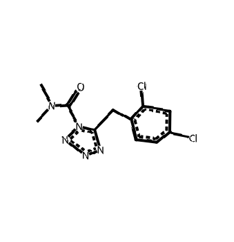 CN(C)C(=O)n1nnnc1Cc1ccc(Cl)cc1Cl